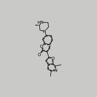 Cc1cc2cc(-c3cc4ccc(N5CCN[C@H](C)C5)cc4oc3=O)oc2c(C)n1